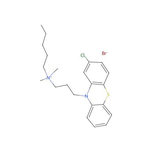 CCCCC[N+](C)(C)CCCN1c2ccccc2Sc2ccc(Cl)cc21.[Br-]